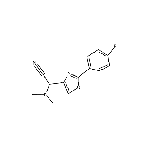 CN(C)C(C#N)c1coc(-c2ccc(F)cc2)n1